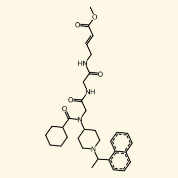 COC(=O)/C=C/CNC(=O)CNC(=O)CN(C(=O)C1CCCCC1)C1CCN(C(C)c2cccc3ccccc23)CC1